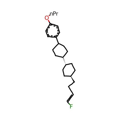 CCCOc1ccc(C2CCC([C@H]3CC[C@H](CC/C=C/F)CC3)CC2)cc1